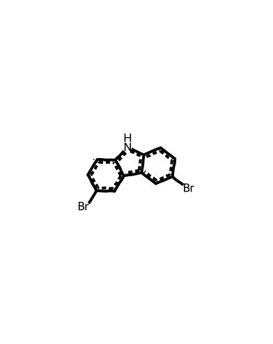 Brc1c[c]c2[nH]c3ccc(Br)cc3c2c1